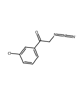 [N-]=[N+]=NCC(=O)c1cccc(Cl)c1